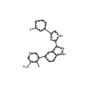 Cc1c(N)cncc1-c1ccc2[nH]nc(-c3nc(-c4cccc(F)c4)c[nH]3)c2c1